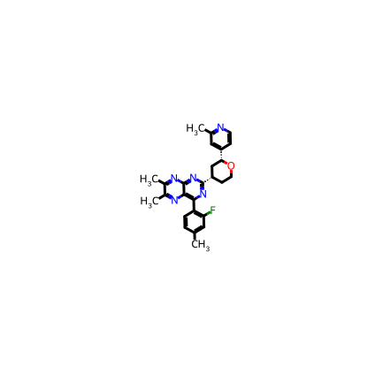 Cc1ccc(-c2nc([C@H]3CCO[C@@H](c4ccnc(C)c4)C3)nc3nc(C)c(C)nc23)c(F)c1